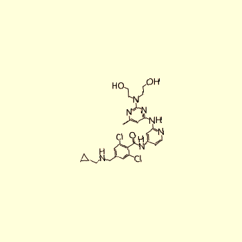 Cc1cc(Nc2cc(NC(=O)c3c(Cl)cc(CNCC4CC4)cc3Cl)ccn2)nc(N(CCO)CCO)n1